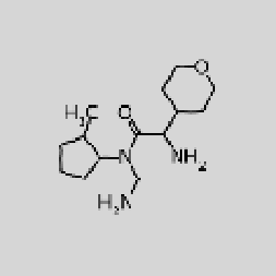 CC1CCCC1N(CN)C(=O)C(N)C1CCOCC1